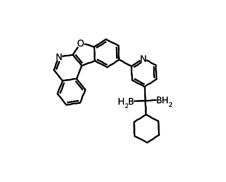 BC(B)(c1ccnc(-c2ccc3oc4ncc5ccccc5c4c3c2)c1)C1CCCCC1